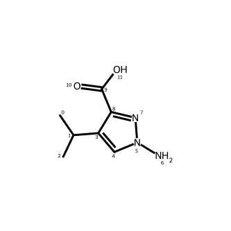 CC(C)c1cn(N)nc1C(=O)O